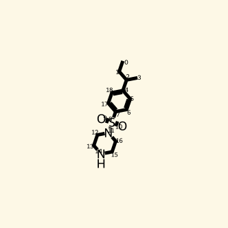 CCC(C)c1ccc(S(=O)(=O)N2CCNCC2)cc1